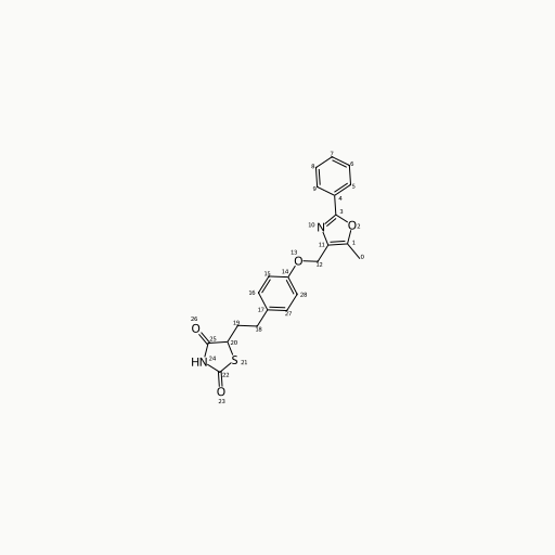 Cc1oc(-c2ccccc2)nc1COc1ccc(CCC2SC(=O)NC2=O)cc1